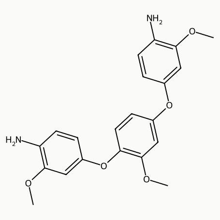 COc1cc(Oc2ccc(Oc3ccc(N)c(OC)c3)c(OC)c2)ccc1N